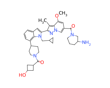 COc1cc(C(=O)N2CCCC(N)C2)cn2nc(-c3cc4cccc(C5CCN(C(=O)C6CC(O)C6)CC5)c4n3CC3CC3)c(C)c12